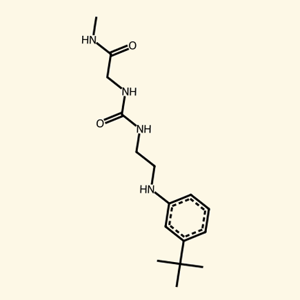 CNC(=O)CNC(=O)NCCNc1cccc(C(C)(C)C)c1